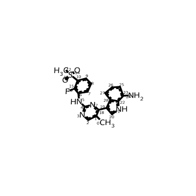 Cc1cnc(Nc2cccc(S(C)(=O)=O)c2F)nc1-c1c[nH]c2c(N)cccc12